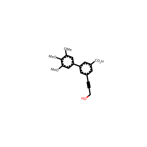 COc1cc(-c2cc(C#CCO)cc(C(=O)O)c2)cc(OC)c1OC